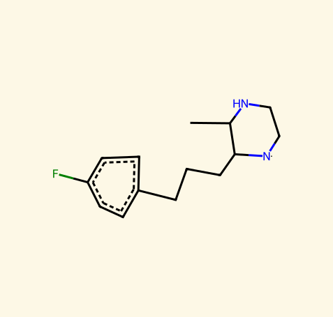 CC1NCC[N]C1CCCc1ccc(F)cc1